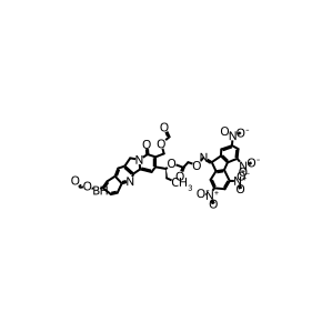 CC[C@H](OC(=O)CON=C1c2cc([N+](=O)[O-])cc([N+](=O)[O-])c2-c2c1cc([N+](=O)[O-])cc2[N+](=O)[O-])c1cc2n(c(=O)c1COC=O)Cc1cc3cc(BOC=O)ccc3nc1-2